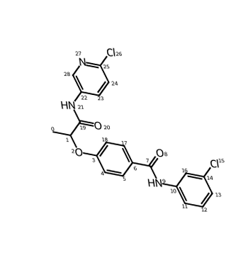 CC(Oc1ccc(C(=O)Nc2cccc(Cl)c2)cc1)C(=O)Nc1ccc(Cl)nc1